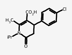 CC1=C(C(=O)O)C(c2ccc(Cl)cc2)CC(=O)N1C(C)C